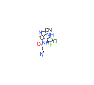 CN(C)CC#CC(=O)Nc1ccc2ncc(C#N)c(Nc3ccc(F)c(Cl)c3)c2c1